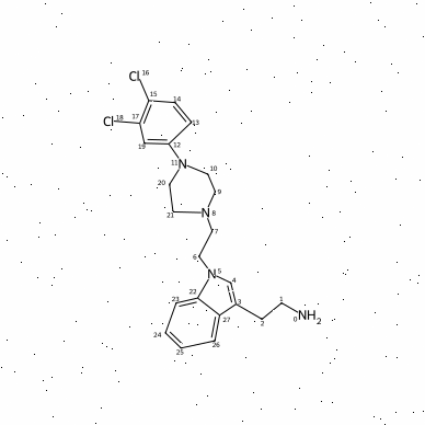 NCCc1cn(CCN2CCN(c3ccc(Cl)c(Cl)c3)CC2)c2ccccc12